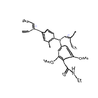 C=C/C(=C\C(C)CC)c1ccc(N(/C=C(/C)CC)c2cc(OC)c(C(=O)NCC)c(OC)c2)c(C)c1